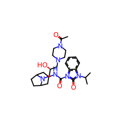 CC(=O)N1CCN(C[C@H](O)CN2C3CCC2CC(NC(=O)n2c(=O)n(C(C)C)c4ccccc42)C3)CC1